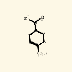 CCOC(=O)C1=C[CH]C(C(CC)C(C)C)CC1